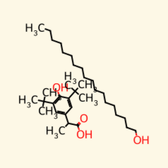 CC(C(=O)O)c1cc(C(C)(C)C)c(O)c(C(C)(C)C)c1.CCCCCCCCCCCCCCCCCCO